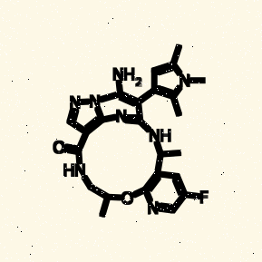 Cc1cc(-c2c3nc4c(cnn4c2N)C(=O)NCC(C)Oc2ncc(F)cc2C(C)N3)c(C)n1C